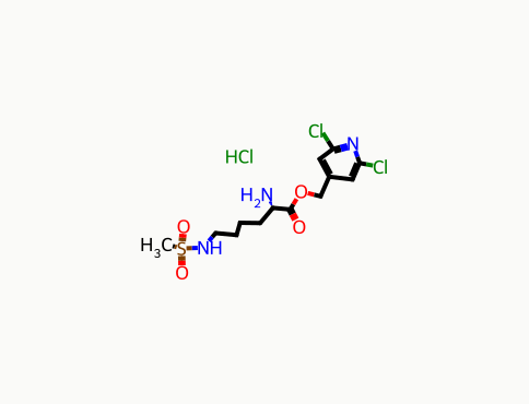 CS(=O)(=O)NCCCC[C@H](N)C(=O)OCc1cc(Cl)nc(Cl)c1.Cl